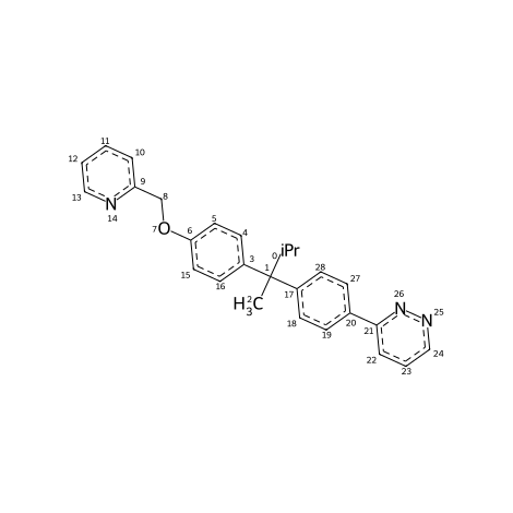 CC(C)C(C)(c1ccc(OCc2ccccn2)cc1)c1ccc(-c2cccnn2)cc1